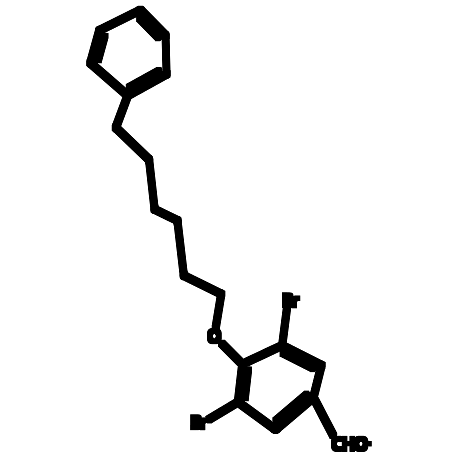 O=[C]c1cc(Br)c(OCCCCCCc2ccccc2)c(Br)c1